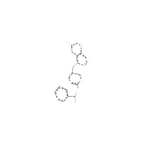 FC(F)(F)C(Nc1ncc(Cc2c[nH]c3ncc(Cl)cc23)cn1)c1cccnc1